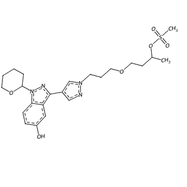 CC(CCOCCCn1cc(-c2nn(C3CCCCO3)c3ccc(O)cc23)cn1)OS(C)(=O)=O